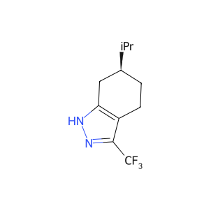 CC(C)[C@H]1CCc2c(C(F)(F)F)n[nH]c2C1